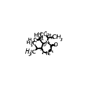 CC(C)C1CN=CC(=O)N(C(C)C)C1C(C)C